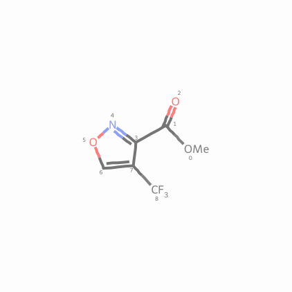 COC(=O)c1nocc1C(F)(F)F